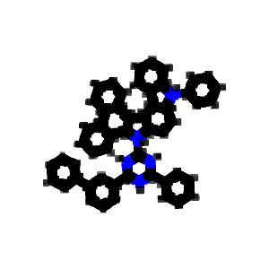 c1ccc(-c2cccc(-c3nc(-c4ccccc4)nc(-n4c5ccc6c(c7ccccc7n6-c6ccccc6)c5c5c6ccccc6c6ccccc6c54)n3)c2)cc1